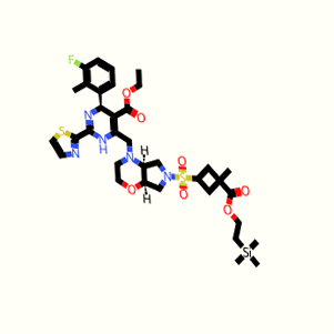 CCOC(=O)C1=C(CN2CCO[C@@H]3CN(S(=O)(=O)C4CC(C)(C(=O)OCC[Si](C)(C)C)C4)C[C@@H]32)NC(c2nccs2)=N[C@H]1c1cccc(F)c1C